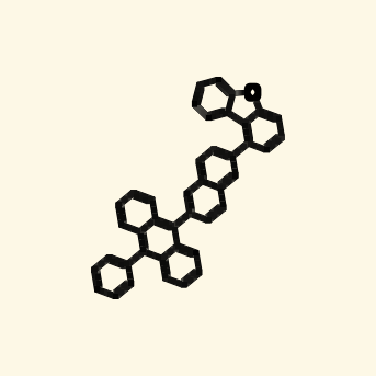 c1ccc(-c2c3ccccc3c(-c3ccc4cc(-c5cccc6oc7ccccc7c56)ccc4c3)c3ccccc23)cc1